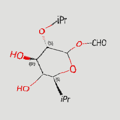 CC(C)O[C@@H]1C(OC=O)O[C@@H](C(C)C)C(O)[C@H]1O